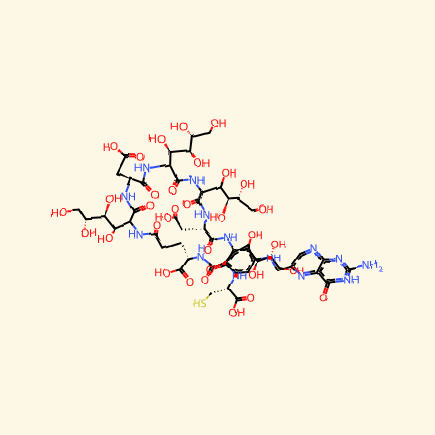 Nc1nc2ncc(CNc3ccc(C(=O)N[C@@H](CCC(=O)NC(C(=O)N[C@@H](CC(=O)O)C(=O)NC(C(=O)NC(C(=O)N[C@@H](CC(=O)O)C(=O)NC(C(=O)N[C@@H](CS)C(=O)O)C(O)[C@H](O)[C@H](O)CO)C(O)[C@H](O)[C@H](O)CO)[C@@H](O)[C@H](O)[C@H](O)CO)[C@@H](O)[C@H](O)[C@H](O)CO)C(=O)O)cc3)nc2c(=O)[nH]1